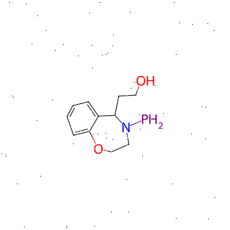 OCCC1c2ccccc2OCCN1P